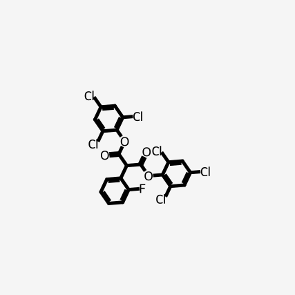 O=C(Oc1c(Cl)cc(Cl)cc1Cl)C(C(=O)Oc1c(Cl)cc(Cl)cc1Cl)c1ccccc1F